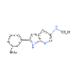 CCOC(=O)Nc1cnc2[nH]c(-c3cccc(NC(C)=O)c3)cc2c1